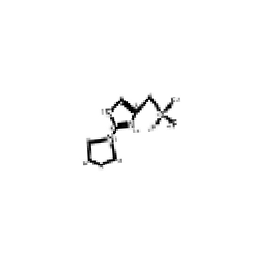 F[B-](F)(F)Cc1csc(N2CCCC2)n1